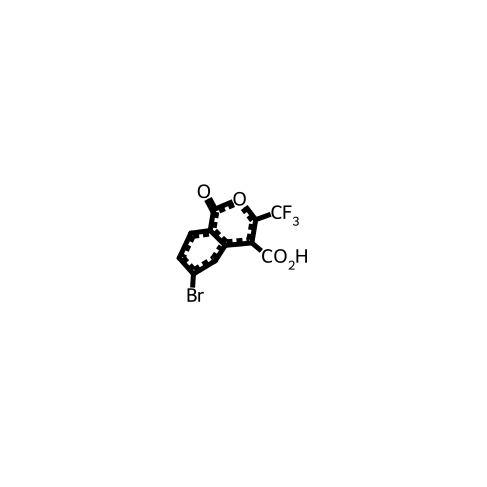 O=C(O)c1c(C(F)(F)F)oc(=O)c2ccc(Br)cc12